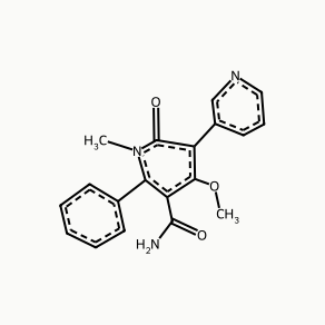 COc1c(C(N)=O)c(-c2ccccc2)n(C)c(=O)c1-c1cccnc1